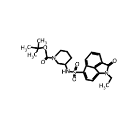 CCN1C(=O)c2cccc3c(S(=O)(=O)NC4CCCN(C(=O)OC(C)(C)C)C4)ccc1c23